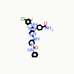 NC(=O)C1CCC(n2c(Nc3c(F)cc(Cl)cc3F)nc3cnc(N[C@@H]4CCCN(C(=O)Nc5ccccc5)C4)nc32)CC1